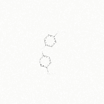 CCCCCCCCCCc1ccc(Sc2ccc(CCCCCCCCCC)cc2)cc1